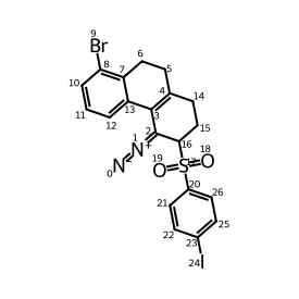 [N-]=[N+]=C1C2=C(CCc3c(Br)cccc32)CCC1S(=O)(=O)c1ccc(I)cc1